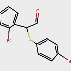 O=CC(Sc1ccc(Br)cc1)c1ccccc1Br